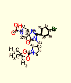 CC(C)(C)OC(=O)N1CCC(CN2C(=O)C3(CCN(C(=O)O)CC3)N=C2c2ccc(Br)cc2)C1